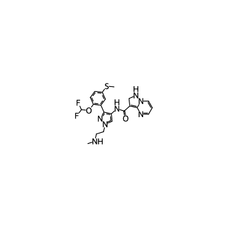 CNCCn1cc(NC(=O)C2=C3N=CC=CN3NC2)c(-c2cc(SC)ccc2OC(F)F)n1